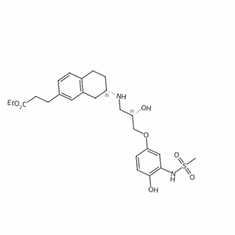 CCOC(=O)CCc1ccc2c(c1)C[C@@H](NC[C@H](O)COc1ccc(O)c(NS(C)(=O)=O)c1)CC2